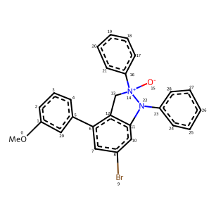 COc1cccc(-c2cc(Br)cc3c2C[N+]([O-])(c2ccccc2)N3c2ccccc2)c1